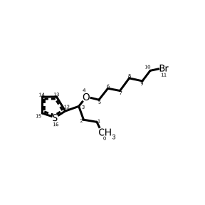 CCCC(OCCCCCCBr)c1cccs1